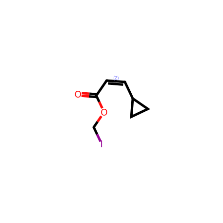 O=C(/C=C\C1CC1)OCI